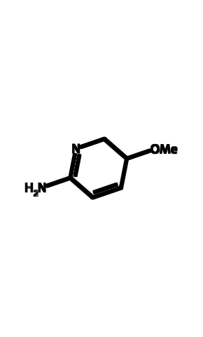 COC1C=CC(N)=NC1